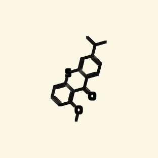 COc1cccc2sc3cc(C(C)C)ccc3c(=O)c12